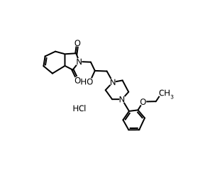 CCOc1ccccc1N1CCN(CC(O)CN2C(=O)C3CC=CCC3C2=O)CC1.Cl